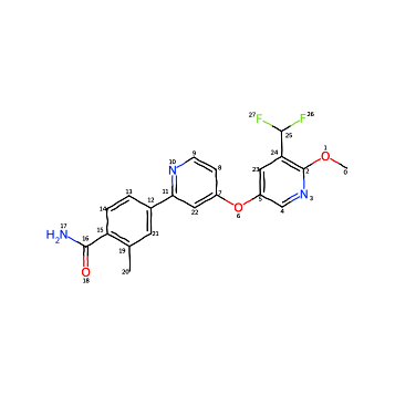 COc1ncc(Oc2ccnc(-c3ccc(C(N)=O)c(C)c3)c2)cc1C(F)F